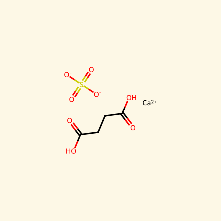 O=C(O)CCC(=O)O.O=S(=O)([O-])[O-].[Ca+2]